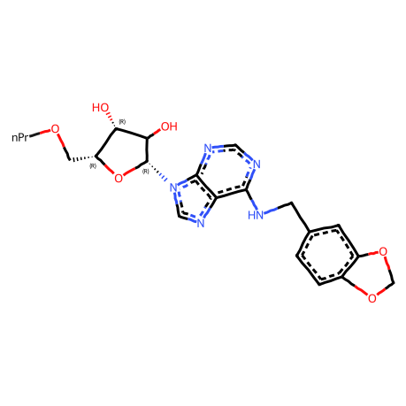 CCCOC[C@H]1O[C@@H](n2cnc3c(NCc4ccc5c(c4)OCO5)ncnc32)C(O)[C@H]1O